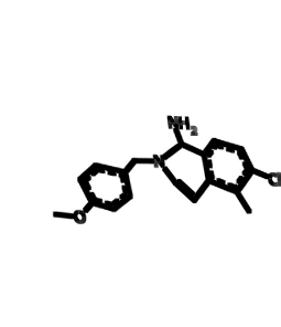 COc1ccc(CN2C=Cc3c(ccc(Cl)c3C)C2N)cc1